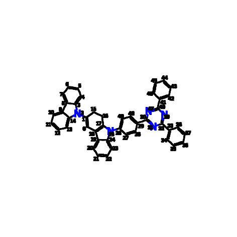 C1=C(n2c3ccccc3c3ccccc32)CCc2c1c1ccccc1n2-c1ccc(-c2nc(-c3ccccc3)nc(-c3ccccc3)n2)cc1